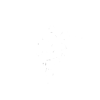 COc1ccc(N(c2ccc(OC)cc2)c2cc3c(s2)C2(c4ccccc4Oc4ccccc42)c2cc(N(c4ccc(OC)cc4)c4ccc(OC)cc4)sc2C32c3ccccc3Oc3ccccc32)cc1